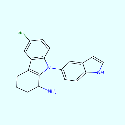 NC1CCCc2c1n(-c1ccc3[nH]ccc3c1)c1ccc(Br)cc21